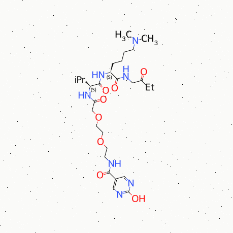 CCC(=O)CNC(=O)[C@H](CCCCN(C)C)NC(=O)[C@@H](NC(=O)COCCOCCNC(=O)c1cnc(O)nc1)C(C)C